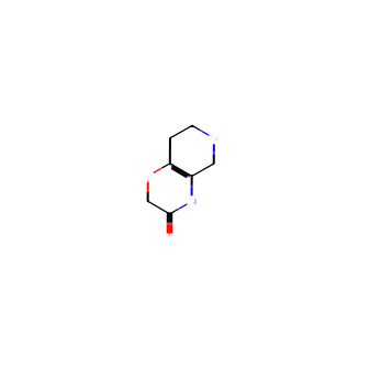 O=C1COC2=C(CNCC2)N1